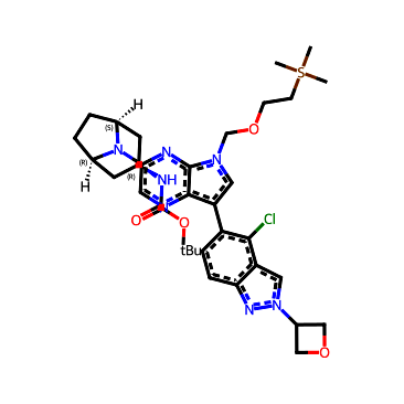 CC(C)(C)OC(=O)N[C@H]1C[C@H]2CC[C@@H](C1)N2c1cnc2c(-c3ccc4nn(C5COC5)cc4c3Cl)cn(COCCS(C)(C)C)c2n1